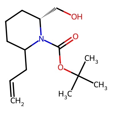 C=CCC1CCC[C@H](CO)N1C(=O)OC(C)(C)C